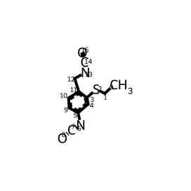 CCSc1cc(N=C=O)ccc1CN=C=O